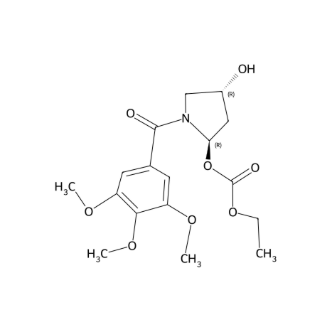 CCOC(=O)O[C@@H]1C[C@@H](O)CN1C(=O)c1cc(OC)c(OC)c(OC)c1